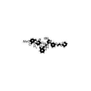 COc1ccc(Cn2c(C)cc(OCc3ccccc3CNC(=O)Nc3cc(C(C)(C)C)nn3-c3cccc(OCCOC4CCCCO4)c3)c(Cl)c2=O)cc1Cl